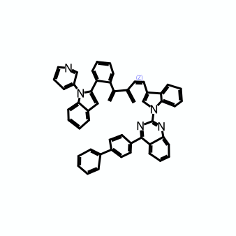 C=C(/C=C\c1cn(-c2nc(-c3ccc(-c4ccccc4)cc3)c3ccccc3n2)c2ccccc12)C(=C)c1ccccc1-c1cc2ccccc2n1-c1cccnc1